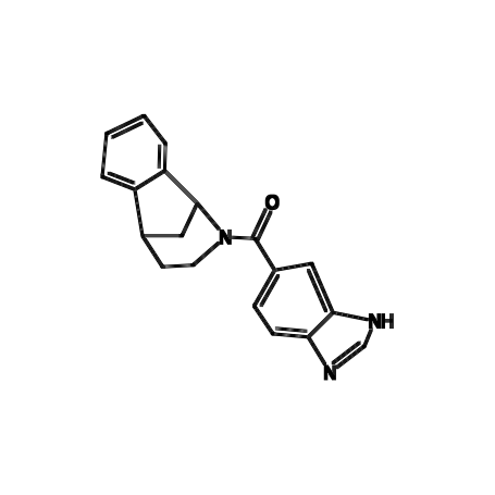 O=C(c1ccc2nc[nH]c2c1)N1CCC2CC1c1ccccc12